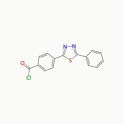 O=C(Cl)c1ccc(-c2nnc(-c3ccccc3)s2)cc1